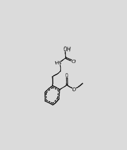 COC(=O)c1ccccc1CCNC(=O)O